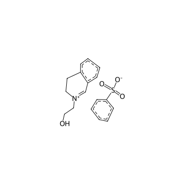 O=S(=O)([O-])c1ccccc1.OCC[N+]1=Cc2ccccc2CC1